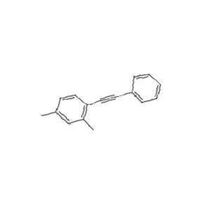 Cc1ccc(C#Cc2ccccc2)c(C)c1